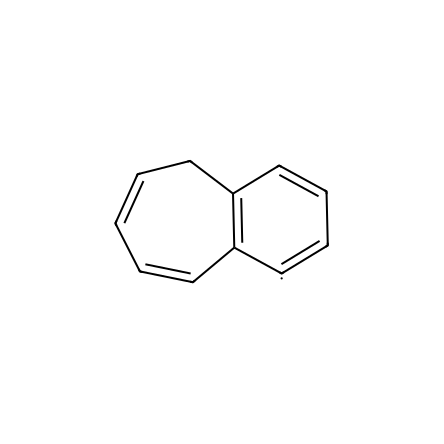 [c]1cccc2c1C=CC=CC2